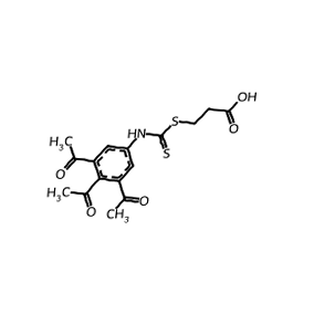 CC(=O)c1cc(NC(=S)SCCC(=O)O)cc(C(C)=O)c1C(C)=O